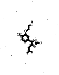 COCCOc1cc(-c2nc(Cl)sc2CC(C)C)ccc1Cl